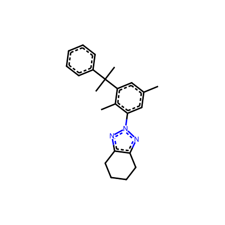 Cc1cc(-n2nc3c(n2)CCCC3)c(C)c(C(C)(C)c2ccccc2)c1